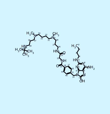 CCCCNc1nc(N)c2nc(O)n(Cc3ccc(C(=O)NCC(=O)NCCCN(C)CCCCN(C)CCCNC(C)(C)C)cc3)c2n1